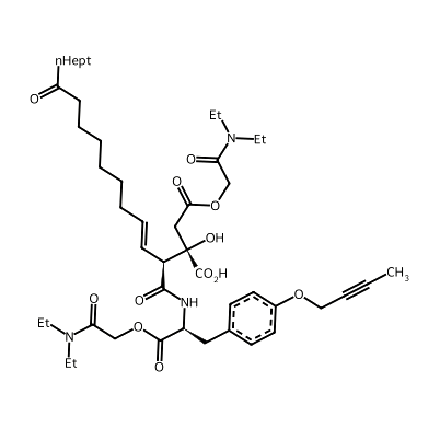 CC#CCOc1ccc(C[C@H](NC(=O)[C@@H](/C=C/CCCCCCC(=O)CCCCCCC)[C@@](O)(CC(=O)OCC(=O)N(CC)CC)C(=O)O)C(=O)OCC(=O)N(CC)CC)cc1